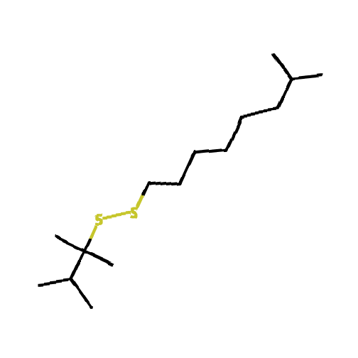 CC(C)CCCCCCSSC(C)(C)C(C)C